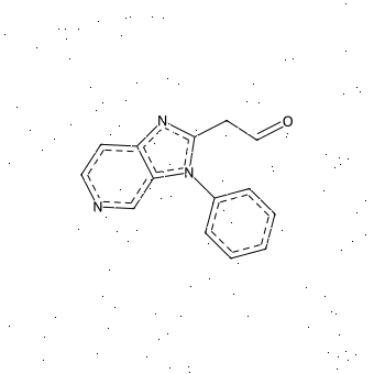 O=CCc1nc2ccncc2n1-c1ccccc1